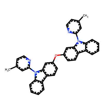 Cc1ccnc(-n2c3ccccc3c3ccc(Oc4ccc5c6ccccc6n(-c6cc(C)ccn6)c5c4)cc32)c1